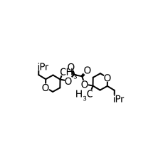 CC(C)CC1CC(C)(OC(=O)C(=O)OC2(C)CCOC(CC(C)C)C2)CCO1